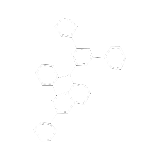 c1ccc(-c2cc(-c3ccccc3)nc(N3c4ccccc4-c4nc(-c5ccccc5)cc5cccc3c45)c2)cc1